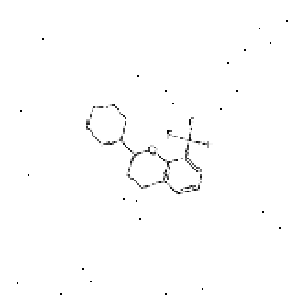 FC(F)(F)c1cccc2c1OC(C1CCCCC1)CC2